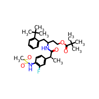 C[C@H](C(=O)NC(CCOC(=O)C(C)(C)C)Cc1ccccc1C(C)(C)C)c1ccc(NS(C)(=O)=O)c(F)c1